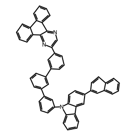 c1cc(-c2cccc(-c3cnc4c5ccccc5c5ccccc5c4n3)c2)cc(-c2cccc(-n3c4ccccc4c4cc(-c5ccc6ccccc6c5)ccc43)c2)c1